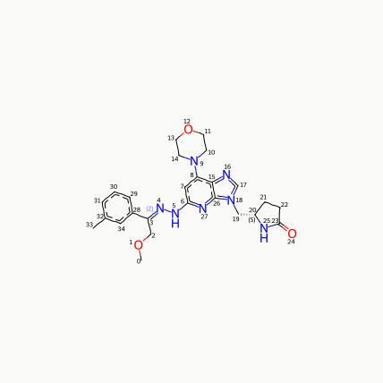 COC/C(=N\Nc1cc(N2CCOCC2)c2ncn(C[C@@H]3CCC(=O)N3)c2n1)c1cccc(C)c1